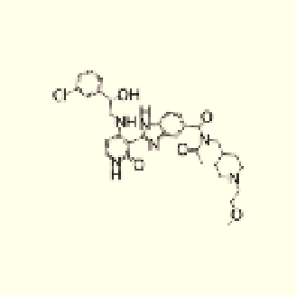 COCCN1CCC(CN(C(C)=O)C(=O)c2ccc3[nH]c(-c4c(NC[C@@H](O)c5cccc(Cl)c5)cc[nH]c4=O)nc3c2)CC1